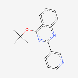 CC(C)(C)Oc1nc(-c2cccnc2)nc2ccccc12